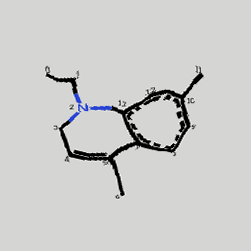 CCN1CC=C(C)c2ccc(C)cc21